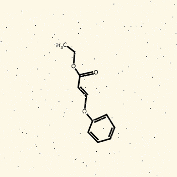 CCOC(=O)C=COc1ccccc1